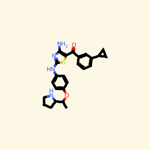 CC(Oc1ccc(Nc2nc(N)c(C(=O)c3cccc(C4CC4)c3)s2)cc1)C1CCCN1